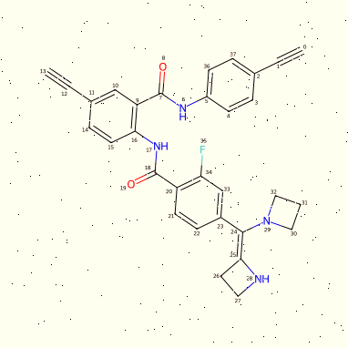 C#Cc1ccc(NC(=O)c2cc(C#C)ccc2NC(=O)c2ccc(C(=C3CCN3)N3CCC3)cc2F)cc1